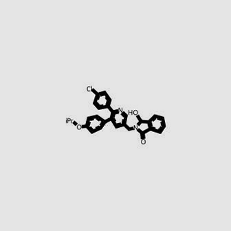 CC(C)Oc1ccc(-c2cc(CN3C(=O)c4ccccc4C3O)cnc2-c2ccc(Cl)cc2)cc1